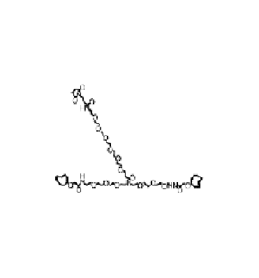 O=C(CCN1C(=O)C=CC1=O)NCCOCCOCCOCCOCCOCCOCCC(=O)N(CCOCCOCCOCCNC(=O)COC1CC/C=C/CCC1)CCOCCOCCOCCNC(=O)COC1CC/C=C/CCC1